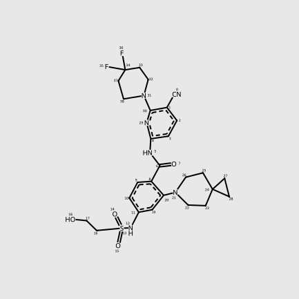 N#Cc1ccc(NC(=O)c2ccc(NS(=O)(=O)CCO)cc2N2CCC3(CC2)CC3)nc1N1CCC(F)(F)CC1